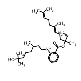 C=CC(C)(CC/C=C(\C)CCC=C(C)C)OC(=O)c1ccccc1NCC[C@H](C)CCCC(C)(C)O